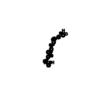 O=C1CC[C@H](c2ccc(N3CCOC4(CCN(CC(=O)N5CCC6(CC5)CN(C(=O)C5(c7ccccc7)CCN(c7cnnc(-c8ccccc8O)c7)CC5)C6)CC4)C3)cc2)C(=O)N1